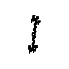 FC(=CCC=COC=CCC=C(F)C(F)(F)F)C(F)(F)F